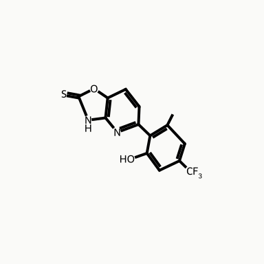 Cc1cc(C(F)(F)F)cc(O)c1-c1ccc2oc(=S)[nH]c2n1